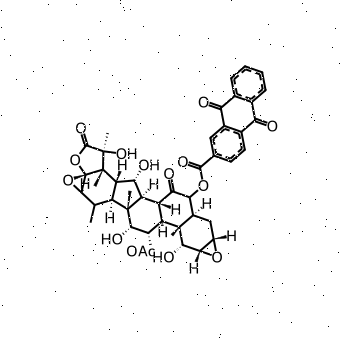 CC(=O)O[C@H]1[C@H]2[C@@H](C(=O)C(OC(=O)c3ccc4c(c3)C(=O)c3ccccc3C4=O)[C@H]3C[C@@H]4O[C@@H]4[C@H](O)[C@]23C)[C@@H]2[C@@H](O)[C@@H]3[C@H](C(C)[C@H]4O[C@]45OC(=O)[C@@](C)(O)[C@]35C)[C@@]2(C)[C@H]1O